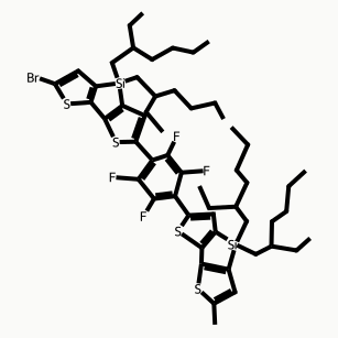 CCCCC(CC)C[Si]1(CC(CC)CCCC)c2cc(C)sc2-c2sc(-c3c(F)c(F)c(-c4cc5c(s4)-c4sc(Br)cc4[Si]5(CC(CC)CCCC)CC(CC)CCCC)c(F)c3F)cc21